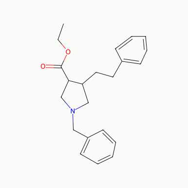 CCOC(=O)C1CN(Cc2ccccc2)CC1CCc1ccccc1